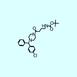 CC(C)(C)OC(=O)NCCCC(=O)N1CCN(C(c2ccccc2)c2ccc(Cl)cc2)CC1